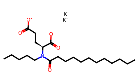 CCCCCCCCCCCC(=O)N(CCCCC)[C@@H](CCC(=O)[O-])C(=O)[O-].[K+].[K+]